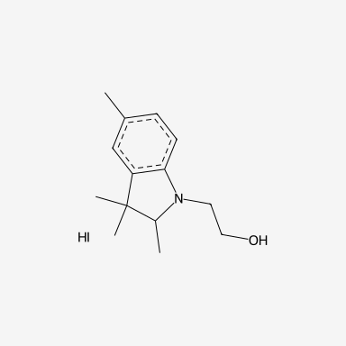 Cc1ccc2c(c1)C(C)(C)C(C)N2CCO.I